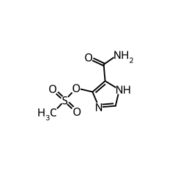 CS(=O)(=O)Oc1nc[nH]c1C(N)=O